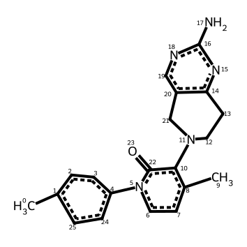 Cc1ccc(-n2ccc(C)c(N3CCc4nc(N)ncc4C3)c2=O)cc1